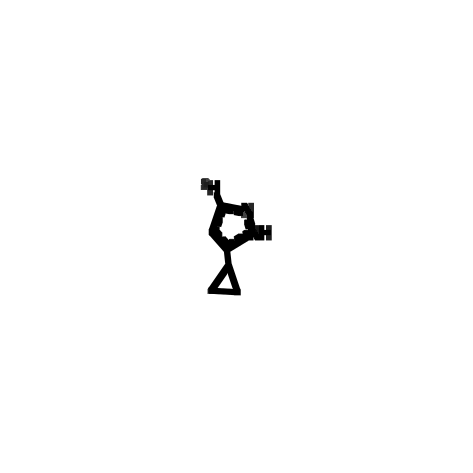 [2H]c1cc(C2CC2)[nH]n1